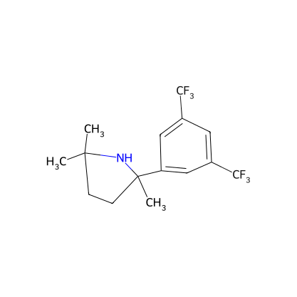 CC1(C)CCC(C)(c2cc(C(F)(F)F)cc(C(F)(F)F)c2)N1